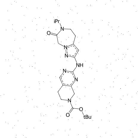 CC(C)N1CCc2cc(Nc3ncc4c(n3)CN(C(=O)OC(C)(C)C)CC4)nn2CC1=O